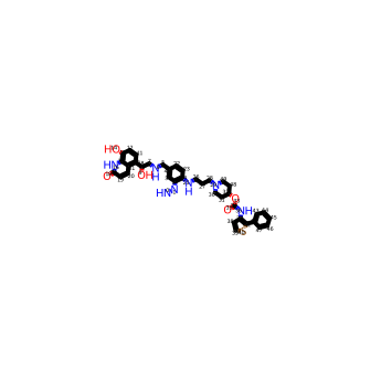 N=Nc1cc(CNCC(O)c2ccc(O)c3[nH]c(=O)ccc23)ccc1NCCCN1CCC(OC(=O)Nc2ccsc2-c2ccccc2)CC1